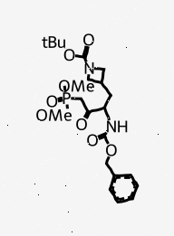 COP(=O)(CC(=O)C(CC1CN(C(=O)OC(C)(C)C)C1)NC(=O)OCc1ccccc1)OC